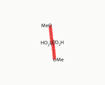 COCCOCCOCCOCCOCCOCCOCCOCCOCCOCCOCCc1c(Br)c(C(=O)O)c(CCOCCOCCOCCOCCOCCOCCOCCOCCOCCOCCOC)c(Br)c1C(=O)O